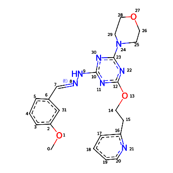 COc1cccc(/C=N/Nc2nc(OCCc3ccccn3)nc(N3CCOCC3)n2)c1